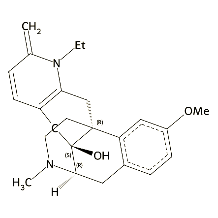 C=C1C=CC2=C(C[C@]34CCN(C)[C@H](Cc5ccc(OC)cc53)[C@]4(O)C2)N1CC